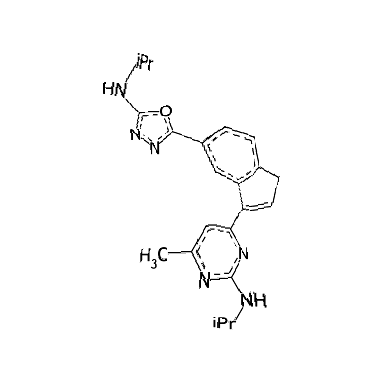 Cc1cc(C2=CCc3ccc(-c4nnc(NC(C)C)o4)cc32)nc(NC(C)C)n1